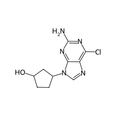 Nc1nc(Cl)c2ncn(C3CCC(O)C3)c2n1